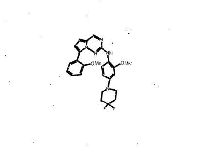 COc1cc(N2CCC(F)(F)CC2)ccc1Nc1ncc2ccc(-c3ccccc3OC)n2n1